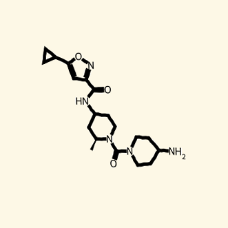 C[C@H]1CC(NC(=O)c2cc(C3CC3)on2)CCN1C(=O)N1CCC(N)CC1